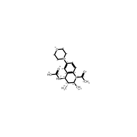 CC(=O)N1c2ccc(N3CCOCC3)cc2[C@H](NC(=O)O)[C@@H](C)[C@@H]1C